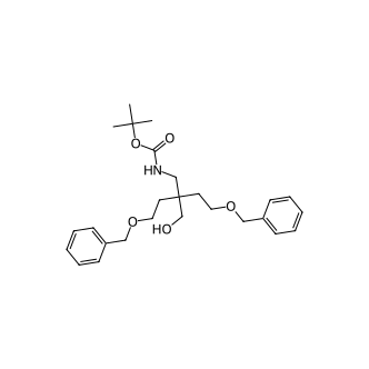 CC(C)(C)OC(=O)NCC(CO)(CCOCc1ccccc1)CCOCc1ccccc1